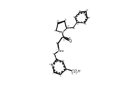 O=C(O)c1ccnc(CNCC(=O)N2CCCC2Cc2ccccc2)c1